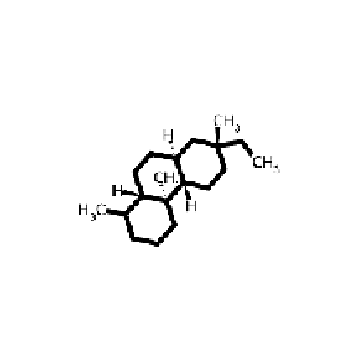 CC[C@]1(C)CC[C@H]2[C@@H](CC[C@H]3C(C)CCC[C@@]32C)C1